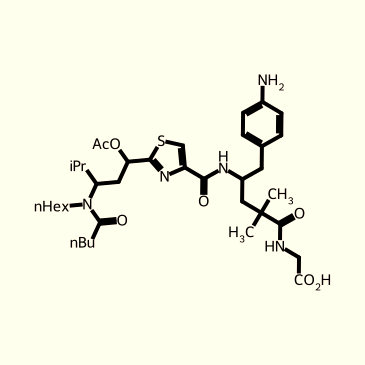 CCCCCCN(C(=O)CCCC)C(CC(OC(C)=O)c1nc(C(=O)NC(Cc2ccc(N)cc2)CC(C)(C)C(=O)NCC(=O)O)cs1)C(C)C